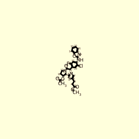 COC(=O)CCc1cnc([C@@H]2[C@@H](OC(C)=O)CCN2C(=O)Cc2cc(Cl)c(Nc3nc4ccccc4o3)cc2F)s1